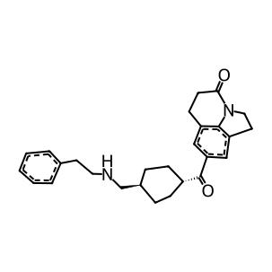 O=C1CCc2cc(C(=O)[C@H]3CC[C@H](CNCCc4ccccc4)CC3)cc3c2N1CC3